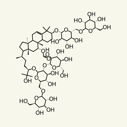 C[C@H](CC[C@@H](O[C@@H]1O[C@H](CO[C@@H]2O[C@H](CO)[C@@H](O)[C@H](O)[C@H]2O)[C@@H](O)[C@H](O)[C@H]1O[C@H]1O[C@@H](CO)[C@H](O)[C@@H](O)[C@@H]1O)C(C)(C)O)C1CC[C@@]2(C)C3CC=C4C(CC[C@H](O[C@@H]5O[C@H](CO[C@@H]6O[C@H](CO)[C@@H](O)[C@H](O)[C@H]6O)[C@@H](O)[C@H](O)[C@H]5O)C4(C)C)[C@]3(C)[C@H](OC=O)C[C@]12C